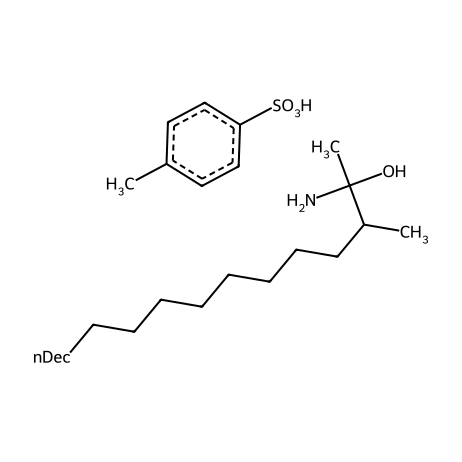 CCCCCCCCCCCCCCCCCCC(C)C(C)(N)O.Cc1ccc(S(=O)(=O)O)cc1